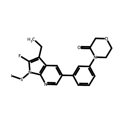 CCc1c(F)n(SI)c2ncc(-c3cccc(N4CCOCC4=O)c3)cc12